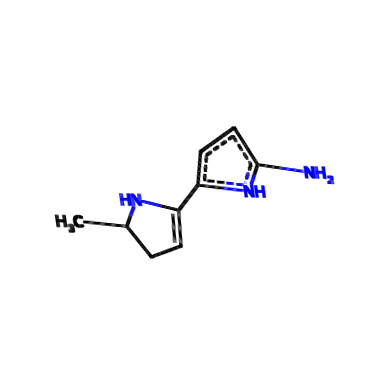 CC1CC=C(c2ccc(N)[nH]2)N1